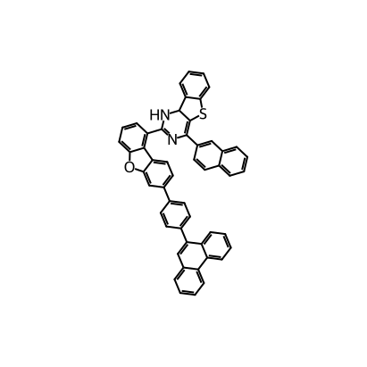 c1ccc2c(c1)SC1=C(c3ccc4ccccc4c3)N=C(c3cccc4oc5cc(-c6ccc(-c7cc8ccccc8c8ccccc78)cc6)ccc5c34)NC12